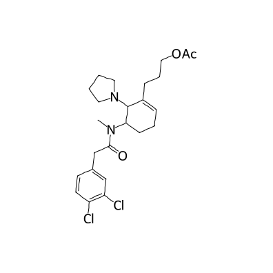 CC(=O)OCCCC1=CCCC(N(C)C(=O)Cc2ccc(Cl)c(Cl)c2)C1N1CCCC1